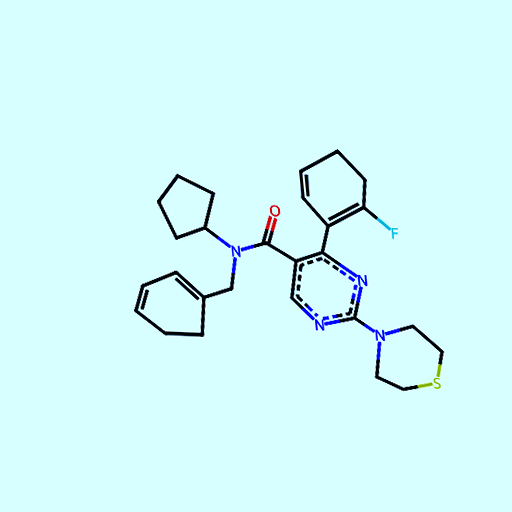 O=C(c1cnc(N2CCSCC2)nc1C1=C(F)CCC=C1)N(CC1=CC=CCC1)C1CCCC1